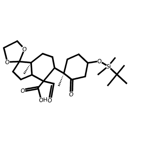 CC(C)(C)[Si](C)(C)OC1CC[C@](C)(C2CC[C@@]3(C)C(CCC34OCCO4)C2(C=O)C(=O)O)C(=O)C1